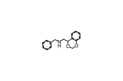 c1ccc(CNCC2OCOc3ccccc32)cc1